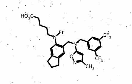 CCN(CCCCC(=O)O)c1cc2c(cc1CN(Cc1cc(C(F)(F)F)cc(C(F)(F)F)c1)c1cc(C)no1)CCC2